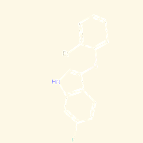 CCc1ccccc1Sc1c[nH]c2cc(F)ccc12